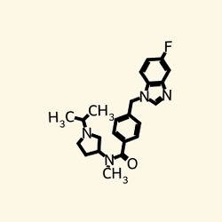 CC(C)N1CCC(N(C)C(=O)c2ccc(Cn3cnc4cc(F)ccc43)cc2)C1